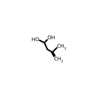 C=C(C)CC(O)O